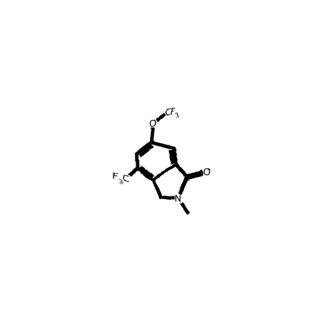 CN1Cc2c(cc(OC(F)(F)F)cc2C(F)(F)F)C1=O